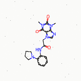 Cn1c(=O)c2c(ncn2CC(=O)Nc2ccccc2N2CCCC2)n(C)c1=O